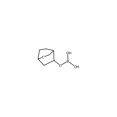 OB(O)OC1CC2CCC1CC2